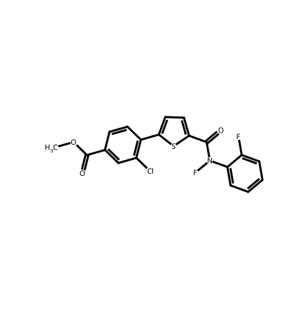 COC(=O)c1ccc(-c2ccc(C(=O)N(F)c3ccccc3F)s2)c(Cl)c1